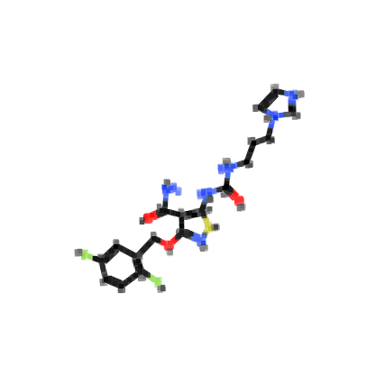 NC(=O)c1c(OCc2cc(F)ccc2F)nsc1NC(=O)NCCCn1ccnc1